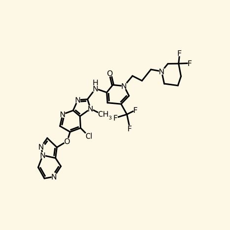 Cn1c(Nc2cc(C(F)(F)F)cn(CCCN3CCCC(F)(F)C3)c2=O)nc2ncc(Oc3cnn4ccncc34)c(Cl)c21